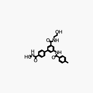 Cc1ccc(C(=O)Nc2cc(C(=O)NCCO)cc(-c3ccc(C(=O)NO)cc3)c2)cc1